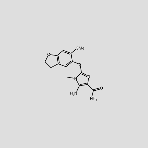 CSc1cc2c(cc1Sc1nc(C(N)=O)c(N)n1C)CCO2